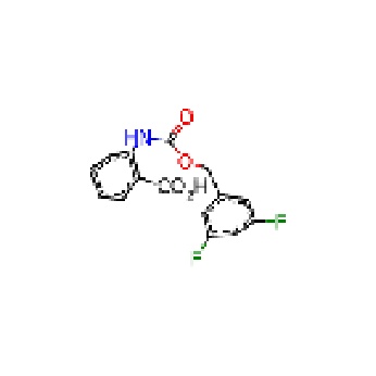 O=C(Nc1ccccc1C(=O)O)OCc1cc(F)cc(F)c1